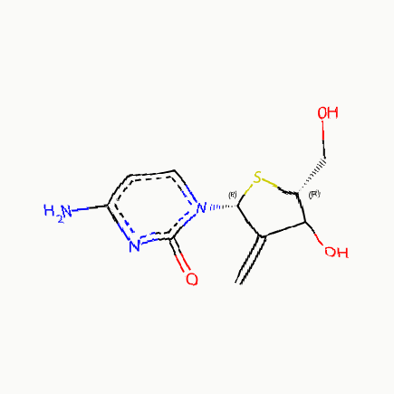 C=C1C(O)[C@@H](CO)S[C@H]1n1ccc(N)nc1=O